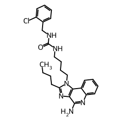 CCCCc1nc2c(N)nc3ccccc3c2n1CCCCNC(=O)NCc1ccccc1Cl